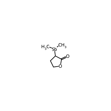 [CH3][Sb]([CH3])[CH]1CCOC1=O